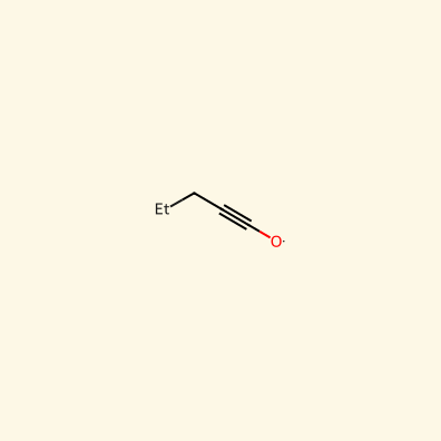 [CH2]CCC#C[O]